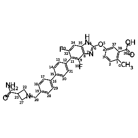 Cc1ccc(Oc2nc3c(F)c(-c4ccc(-c5ccc(CN6CC(C(N)=O)C6)cc5)cc4)c(F)cc3[nH]2)cc1C(=O)O